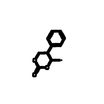 [CH2]C1OC(=O)OCC1c1ccccc1